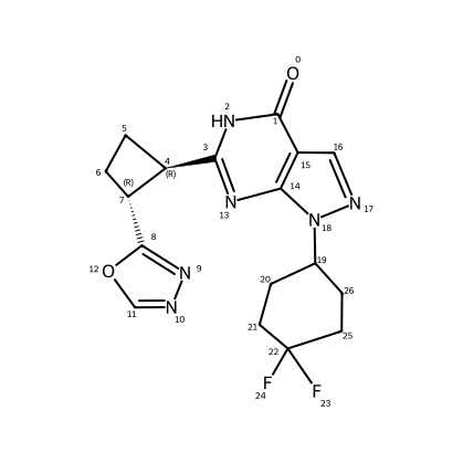 O=c1[nH]c([C@@H]2CC[C@H]2c2nnco2)nc2c1cnn2C1CCC(F)(F)CC1